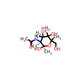 CC(=O)N[C@@]1(C)C(C)(O)C(C)(O)C(C)(CO)O[C@@]1(C)O